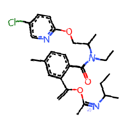 C=C(O/C(C)=N\C(C)CC)c1cc(C)ccc1C(=O)N(CC)C(C)COc1ccc(Cl)cn1